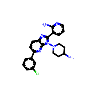 Nc1ncccc1-c1nc2ccc(-c3cccc(Cl)c3)nc2n1N1CCC(N)CC1